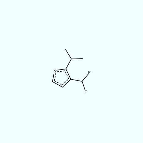 C[C](C)c1sccc1C(F)F